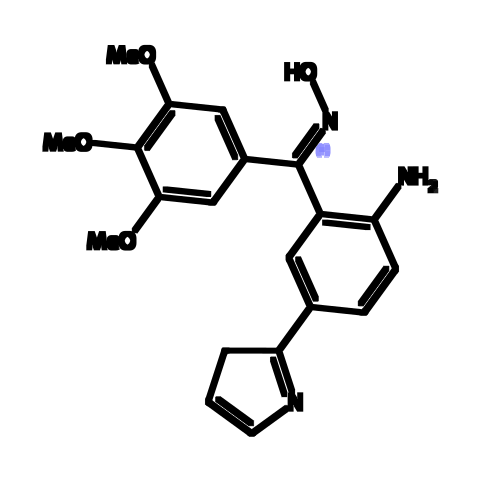 COc1cc(/C(=N\O)c2cc(C3=NC=CC3)ccc2N)cc(OC)c1OC